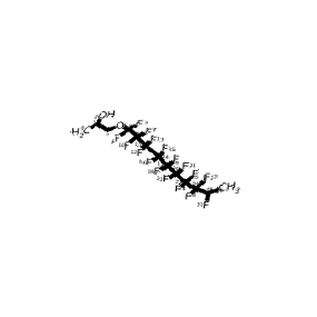 [CH2]C(O)COC(F)(F)C(F)(F)C(F)(F)C(F)(F)C(F)(F)C(F)(F)C(F)(F)C(F)(F)C(C)F